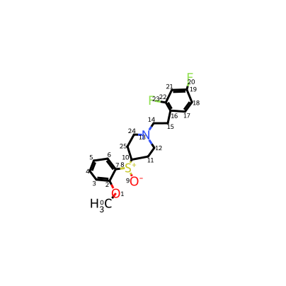 COc1ccccc1[S+]([O-])C1CCN(CCc2ccc(F)cc2F)CC1